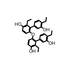 CCc1ccc(-c2c(Oc3ccc(O)c(CC)c3-c3ccc(CC)c(O)c3)ccc(O)c2CC)cc1O